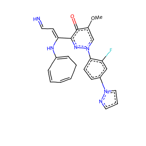 COc1cn(-c2ccc(-n3cccn3)cc2F)nc(/C(=C/C=N)NC2=CCC=CC=C2)c1=O